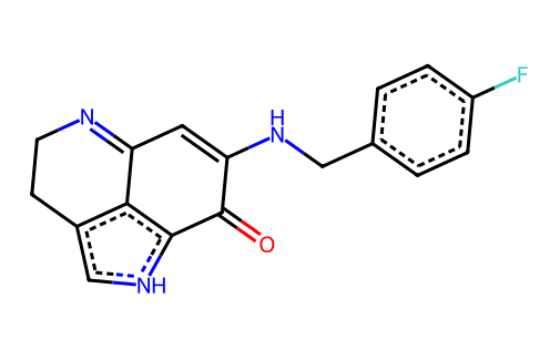 O=C1C(NCc2ccc(F)cc2)=CC2=NCCc3c[nH]c1c32